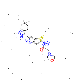 CC1(C)CCC23C(c4cc5sc(NC(=O)CN6CCOCC6)cc5[nH]4)=NN2C3C1